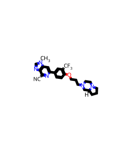 Cn1cnc2c(C#N)nc(-c3ccc(OCCCN4CCN5CCC[C@@H]5C4)c(C(F)(F)F)c3)cc21